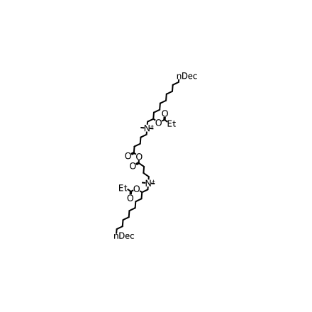 CCCCCCCCCCCCCCCCCCC(C[N+](C)(C)CCCCC(=O)OC(=O)CCC[N+](C)(C)CC(CCCCCCCCCCCCCCCCCC)OC(=O)CC)OC(=O)CC